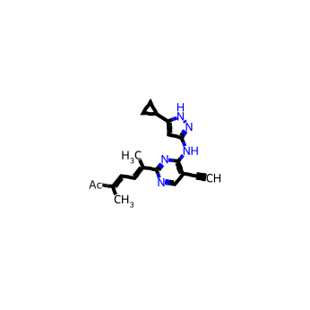 C#Cc1cnc(/C(C)=C/C=C(\C)C(C)=O)nc1Nc1cc(C2CC2)[nH]n1